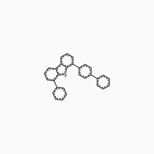 c1ccc(-c2ccc(-c3cccc4c3sc3c(-c5ccccc5)cccc34)cc2)cc1